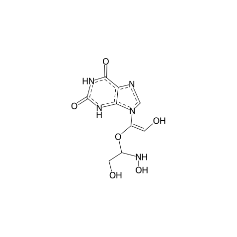 O=c1[nH]c(=O)c2ncn(/C(=C\O)OC(CO)NO)c2[nH]1